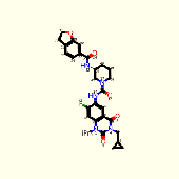 CC(C)n1c(=O)n(CC2CC2)c(=O)c2cc(NC(=O)N3CCC[C@@H](NC(=O)c4ccc5c(c4)OCC5)C3)c(F)cc21